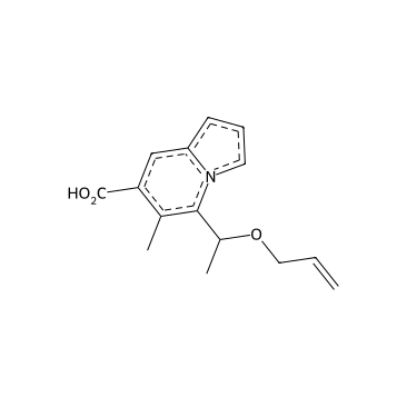 C=CCOC(C)c1c(C)c(C(=O)O)cc2cccn12